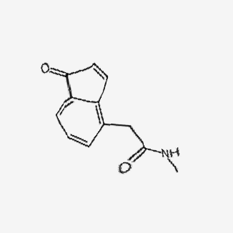 CNC(=O)Cc1cccc2c1C=CC2=O